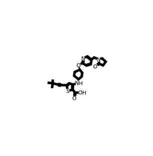 CC(C)(C)C#Cc1cc(N[C@H]2CC[C@H](Oc3ccc(CN4CCCC4=O)cn3)CC2)c(C(=O)O)s1